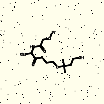 CC(C)OCC(=O)NC(C(=O)SCCOC(C)(C)CCO)C(C)(C)C